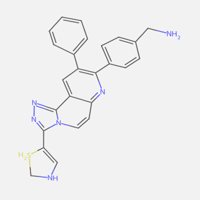 NCc1ccc(-c2nc3ccn4c(C5=CNC[SH2]5)nnc4c3cc2-c2ccccc2)cc1